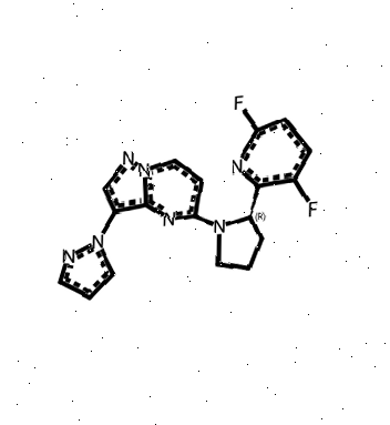 Fc1ccc(F)c([C@H]2CCCN2c2ccn3ncc(-n4cccn4)c3n2)n1